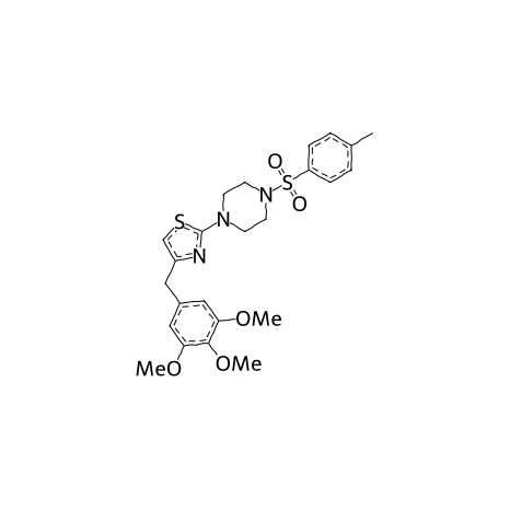 COc1cc(Cc2csc(N3CCN(S(=O)(=O)c4ccc(C)cc4)CC3)n2)cc(OC)c1OC